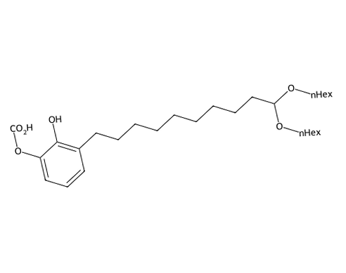 CCCCCCOC(CCCCCCCCCc1cccc(OC(=O)O)c1O)OCCCCCC